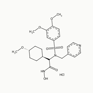 COc1ccc(S(=O)(=O)N(Cc2ccncc2)C(C(=O)NO)[C@H]2CC[C@H](OC)CC2)cc1OC.Cl